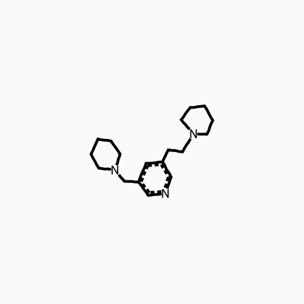 c1ncc(CN2CCCCC2)cc1CCN1CCCCC1